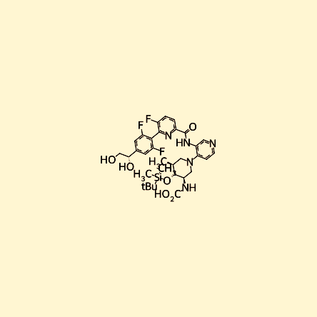 C[C@H]1CN(c2ccncc2NC(=O)c2ccc(F)c(-c3c(F)cc([C@H](O)CO)cc3F)n2)C[C@@H](NC(=O)O)[C@@H]1O[Si](C)(C)C(C)(C)C